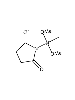 CO[N+](C)(OC)N1CCCC1=O.[Cl-]